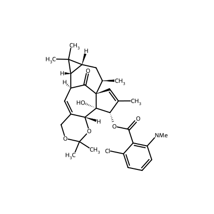 CNc1cccc(Cl)c1C(=O)O[C@H]1C(C)=C[C@]23C(=O)[C@@H](C=C4COC(C)(C)O[C@H]4[C@]12O)[C@H]1[C@@H](C[C@H]3C)C1(C)C